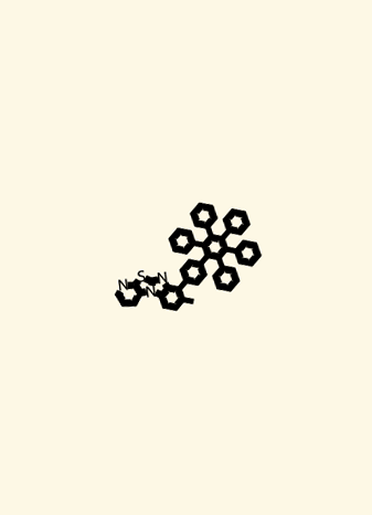 Cc1ccc2c(nc3sc4ncccc4n32)c1-c1ccc(-c2c(-c3ccccc3)c(-c3ccccc3)c(-c3ccccc3)c(-c3ccccc3)c2-c2ccccc2)cc1